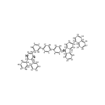 c1cc(-c2ccc(-c3ccc(-n4c5ccccc5c5cc(-c6cccc7ccccc67)ccc54)cc3)cc2)cc(-c2cnc3c4ccccc4c4ccccc4c3n2)c1